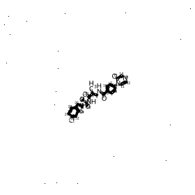 CC(CNC(=O)c1ccc(-n2ccncc2=O)cc1)C(=O)NS(=O)(=O)c1cc2ccc(Cl)cc2s1